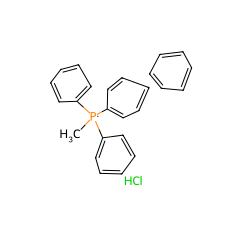 C[P](c1ccccc1)(c1ccccc1)c1ccccc1.Cl.c1ccccc1